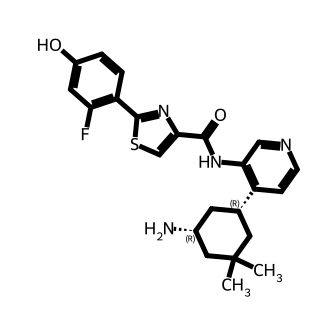 CC1(C)C[C@H](N)C[C@H](c2ccncc2NC(=O)c2csc(-c3ccc(O)cc3F)n2)C1